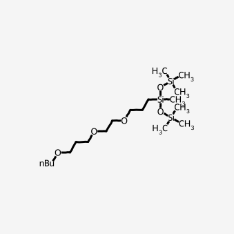 CCCCOCCCOCCOCCC[Si](C)(O[Si](C)(C)C)O[Si](C)(C)C